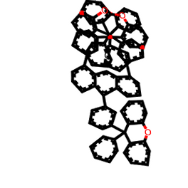 c1ccc(C2(c3cccc(-c4cccc5c(-c6cccc(C7(c8ccccc8)c8ccccc8Oc8ccccc87)c6)c6cccc(-c7cccc(C8(c9ccccc9)c9ccccc9Oc9ccccc98)c7)c6cc45)c3)c3ccccc3Oc3ccccc32)cc1